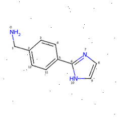 NCc1ccc(-c2ncc[nH]2)cc1